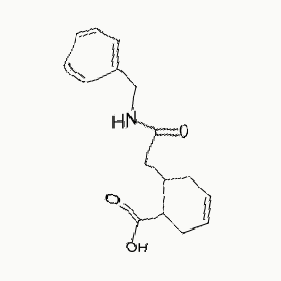 O=C(CC1CC=CCC1C(=O)O)NCc1ccccc1